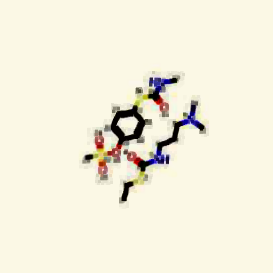 CCSC(=O)NCCCN(C)C.CNC(=O)Sc1ccc(OS(C)(=O)=O)cc1